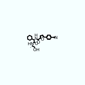 C[C@@H](CO)NC(=O)[C@@H](NC(=O)c1ccc(-c2ccc(C#N)cc2)o1)C1CCCCC1